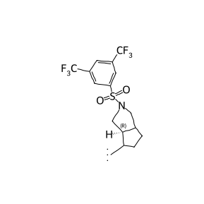 [C]C1CCC2CN(S(=O)(=O)c3cc(C(F)(F)F)cc(C(F)(F)F)c3)C[C@H]12